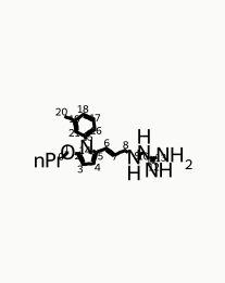 CCCOc1ccc(/C=C/CNNC(=N)N)n1-c1cccc(C)c1